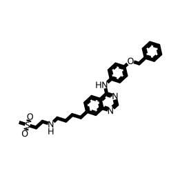 CS(=O)(=O)CCNCCCCc1ccc2c(Nc3ccc(OCc4ccccc4)cc3)ncnc2c1